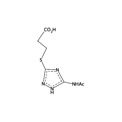 CC(=O)Nc1nc(SCCC(=O)O)n[nH]1